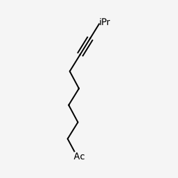 CC(=O)CCCCCC#CC(C)C